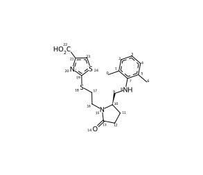 Cc1cccc(C)c1NC[C@H]1CCC(=O)N1CCSc1nc(C(=O)O)cs1